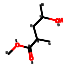 COC(=O)C(C)CC(C)O